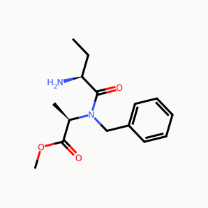 CC[C@H](N)C(=O)N(Cc1ccccc1)[C@H](C)C(=O)OC